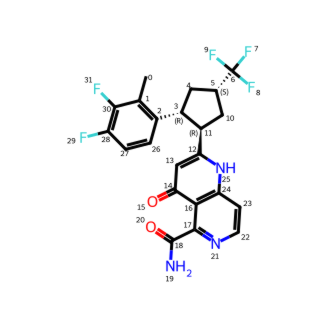 Cc1c([C@@H]2C[C@H](C(F)(F)F)C[C@H]2c2cc(=O)c3c(C(N)=O)nccc3[nH]2)ccc(F)c1F